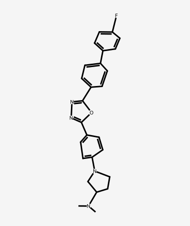 CN(C)C1CCN(c2ccc(-c3nnc(-c4ccc(-c5ccc(F)cc5)cc4)o3)cc2)C1